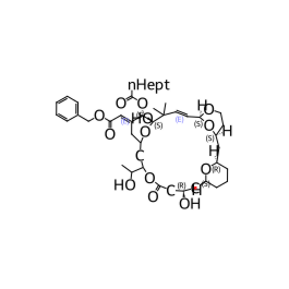 CCCCCCCC(=O)O[C@H]1/C(=C/C(=O)OCc2ccccc2)CC2CC(C(C)O)OC(=O)C[C@H](O)C[C@@H]3CCC[C@H](C[C@@H]4CCO[C@H](/C=C/C(C)(C)[C@]1(O)O2)O4)O3